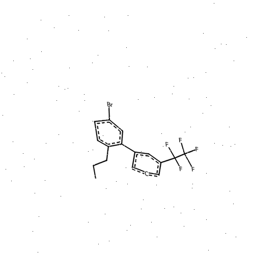 CCCc1c[c]c(Br)cc1-c1cccc(C(F)(F)C(F)(F)F)c1